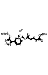 CCCCCCOc1nsnc1C1=CCC[N+](C)(COC(=O)CCCC(=O)OC(C)(C)C)C1.[I-]